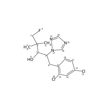 CC(C)(CF)C(O)C(Cc1ccc(Cl)cc1Cl)n1cncn1